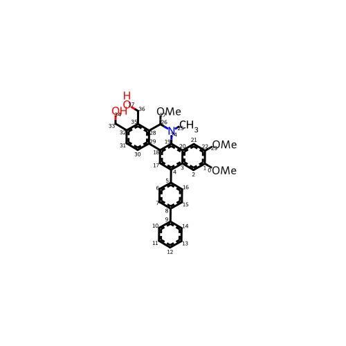 COc1cc2c(-c3ccc(-c4ccccc4)cc3)cc3c(c2cc1OC)N(C)C(OC)c1c-3ccc(CO)c1CO